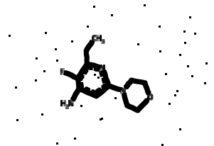 CCc1nc(N2CCOCC2)cc(N)c1F